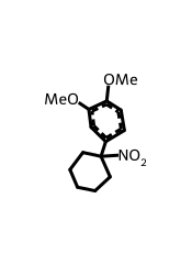 COc1ccc(C2([N+](=O)[O-])CCCCC2)cc1OC